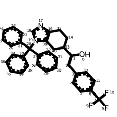 OC(Cc1ccc(C(F)(F)F)cc1)C1CCc2ncn(C(c3ccccc3)(c3ccccc3)c3ccccc3)c2C1